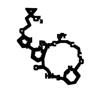 CCCC1CCCCOC2=CCC=C(C=N2)SNCC(=O)c2ccc(-n3ccc(OCCC4(C(F)(F)F)CC4)n3)nc2N(CC)C1